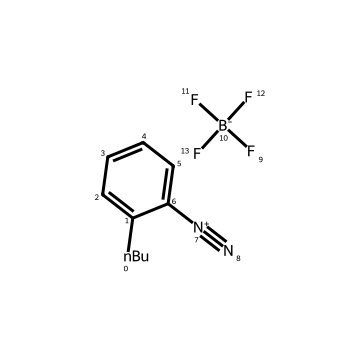 CCCCc1ccccc1[N+]#N.F[B-](F)(F)F